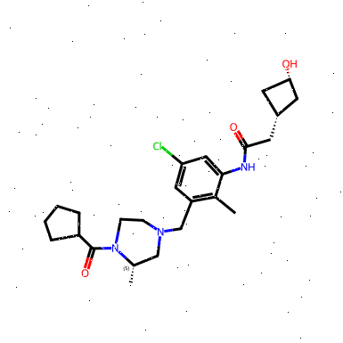 Cc1c(CN2CCN(C(=O)C3CCCC3)[C@@H](C)C2)cc(Cl)cc1NC(=O)C[C@H]1C[C@@H](O)C1